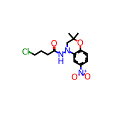 CC1(C)CN(NC(=O)CCCCl)c2cc([N+](=O)[O-])ccc2O1